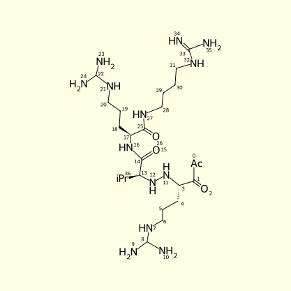 CC(=O)C(=O)[C@H](CCCNC(N)N)NN[C@H](C(=O)N[C@@H](CCCNC(N)N)C(=O)NCCCCNC(=N)N)C(C)C